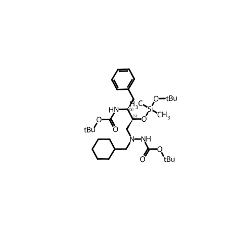 CC(C)(C)OC(=O)N[C@@H](Cc1ccccc1)[C@H](CN(CC1CCCCC1)NC(=O)OC(C)(C)C)O[Si](C)(C)OC(C)(C)C